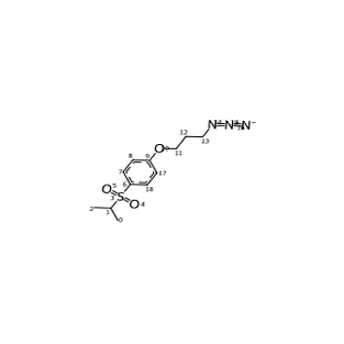 CC(C)S(=O)(=O)c1ccc(OCCCN=[N+]=[N-])cc1